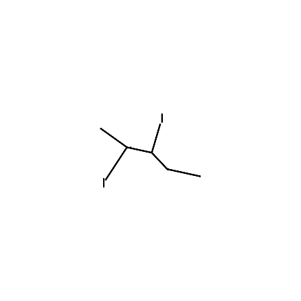 CCC(I)[C](C)I